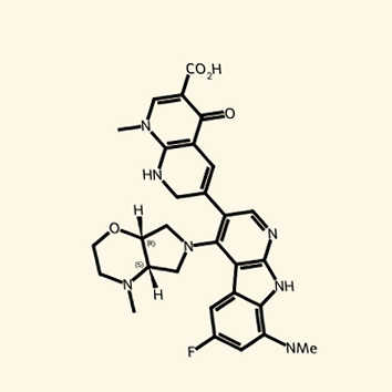 CNc1cc(F)cc2c1[nH]c1ncc(C3=Cc4c(n(C)cc(C(=O)O)c4=O)NC3)c(N3C[C@H]4OCCN(C)[C@H]4C3)c12